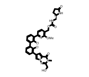 COc1nc(-c2cccc(-c3cccc(-c4cc5c(=O)n(C)c(CO)nn5c4)c3Cl)c2Cl)ccc1COC(=O)NC[C@H]1CCC(=O)N1